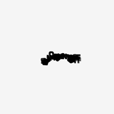 CN(Cc1ccsc1)C(=O)CN1CC2C(CNCc3cccc(OC(F)(F)F)c3)C2C1